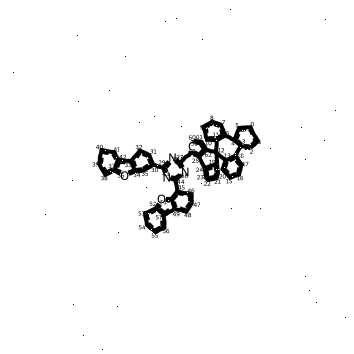 c1ccc2c(c1)-c1ccccc1C1(c3ccccc3-2)c2ccccc2-c2c(-c3nc(-c4ccc5c(c4)oc4ccccc45)nc(-c4cccc5c4oc4ccccc45)n3)cccc21